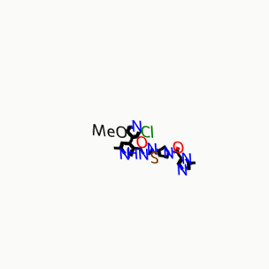 COc1cnc(Cl)cc1-c1cc(C)ncc1C(=O)Nc1nc2c(s1)CN(C(=O)c1cncc(C)n1)C2